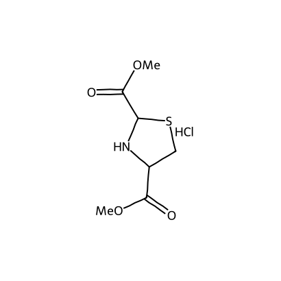 COC(=O)C1CSC(C(=O)OC)N1.Cl